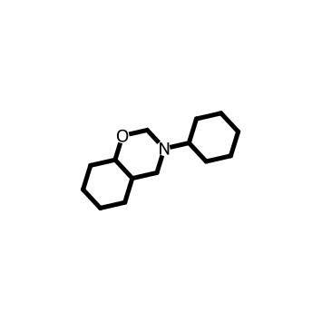 C1CCC(N2COC3CCCCC3C2)CC1